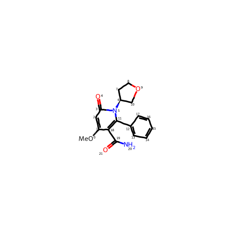 COc1cc(=O)n([C@H]2CCOC2)c(-c2ccccc2)c1C(N)=O